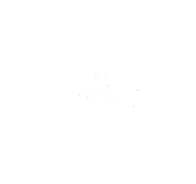 CCCCc1c(Cl)[nH]c(=O)n(Cc2ccccc2F)c1=O